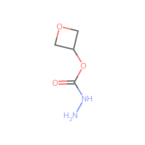 NNC(=O)OC1COC1